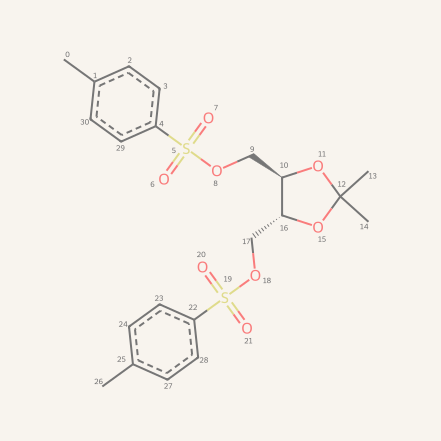 Cc1ccc(S(=O)(=O)OC[C@H]2OC(C)(C)O[C@@H]2COS(=O)(=O)c2ccc(C)cc2)cc1